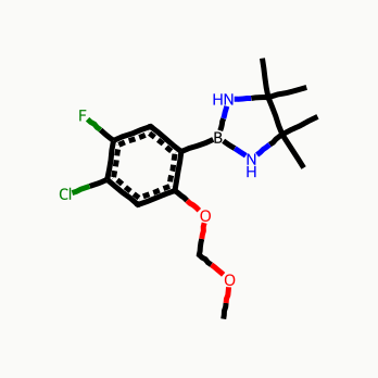 COCOc1cc(Cl)c(F)cc1B1NC(C)(C)C(C)(C)N1